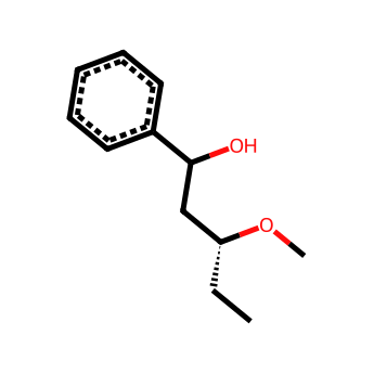 CC[C@H](CC(O)c1ccccc1)OC